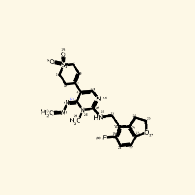 C=N/N=c1/c(C2=CCS(=O)(=O)CC2)cnc(NCc2c(F)ccc3c2CCO3)n1C